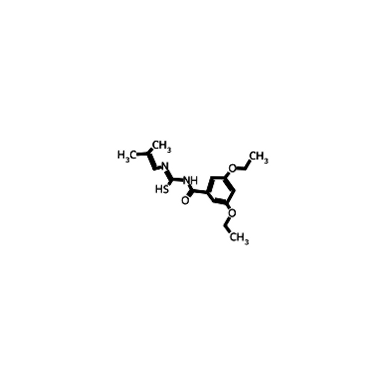 CCOc1cc(OCC)cc(C(=O)N/C(S)=N/C=C(C)C)c1